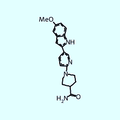 COc1ccc2[nH]c(-c3ccc(N4CCC(C(N)=O)CC4)nc3)cc2c1